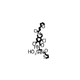 O=C(NC[C@H](NC(=O)c1c(Cl)cc2c(c1Cl)CCN(C(=O)/C=C/c1ccco1)C2)C(=O)O)c1cccs1